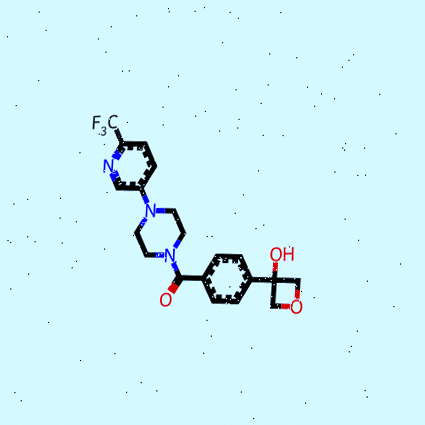 O=C(c1ccc(C2(O)COC2)cc1)N1CCN(c2ccc(C(F)(F)F)nc2)CC1